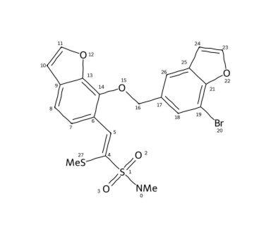 CNS(=O)(=O)/C(=C/c1ccc2ccoc2c1OCc1cc(Br)c2occc2c1)SC